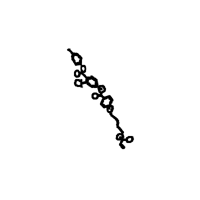 C=CC(=O)OCCCCOc1ccc(C(=O)Oc2ccc(C(=O)Oc3ccc(C)cc3)c(Cl)c2)cc1